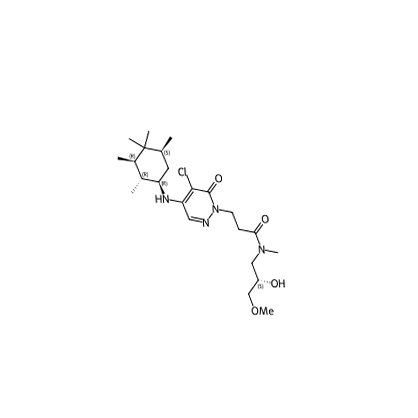 COC[C@@H](O)CN(C)C(=O)CCn1ncc(N[C@@H]2C[C@H](C)C(C)(C)[C@H](C)[C@H]2C)c(Cl)c1=O